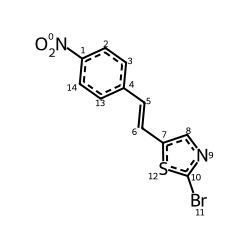 O=[N+]([O-])c1ccc(C=Cc2cnc(Br)s2)cc1